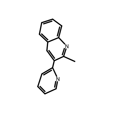 Cc1nc2ccccc2cc1-c1ccccn1